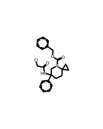 O=C(CCl)NC1(c2ccccc2)CCC2(CC2)N(C(=O)OCc2ccccc2)C1